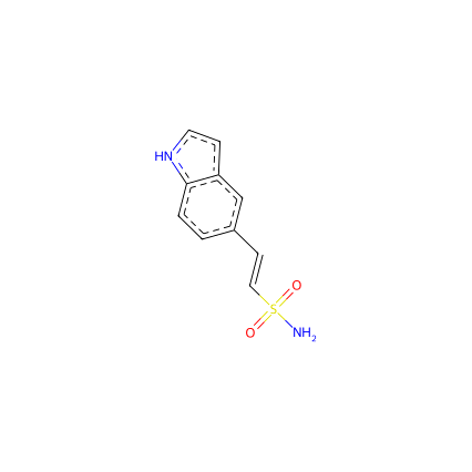 NS(=O)(=O)/C=C/c1ccc2[nH]ccc2c1